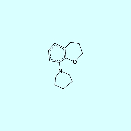 [CH]1CCOc2c1cccc2N1CCCCC1